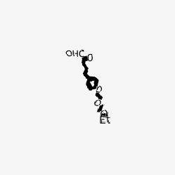 CCOCCOCCOc1ccc(CCCC(=O)C=O)cc1